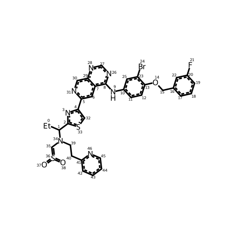 CCC(c1nc(-c2cc3c(Nc4ccc(OCc5cccc(F)c5)c(Br)c4)ncnc3cn2)cs1)N(C=S(=O)=O)CCc1ccccn1